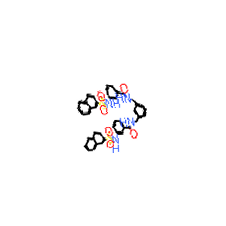 O=C(NCc1cccc(CNC(=O)c2cccc(NS(=O)(=O)c3ccc4ccccc4c3)c2)c1)c1cccc(NS(=O)(=O)c2ccc3ccccc3c2)c1